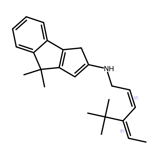 C/C=C(\C=C/CNC1=CC2=C(C1)c1ccccc1C2(C)C)C(C)(C)C